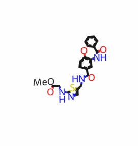 COC(=O)CNc1ncc(CNC(=O)c2ccc3c(c2)NC(=O)c2ccccc2O3)s1